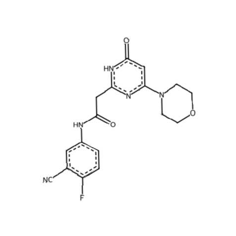 N#Cc1cc(NC(=O)Cc2nc(N3CCOCC3)cc(=O)[nH]2)ccc1F